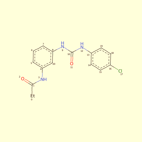 CCC(=O)Nc1cccc(NC(=O)Nc2ccc(Cl)cc2)c1